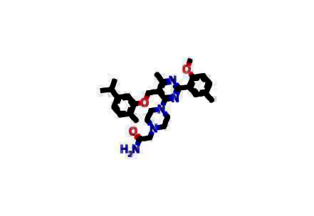 COc1ccc(C)cc1-c1nc(C)c(COc2cc(C(C)C)ccc2C)c(N2CCN(CC(N)=O)CC2)n1